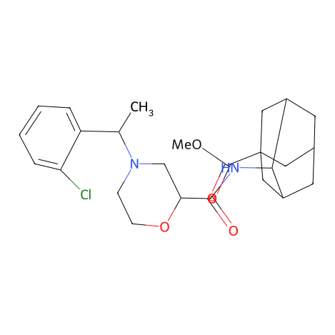 COC(=O)C12CC3CC(C1)C(NC(=O)C1CN(C(C)c4ccccc4Cl)CCO1)C(C3)C2